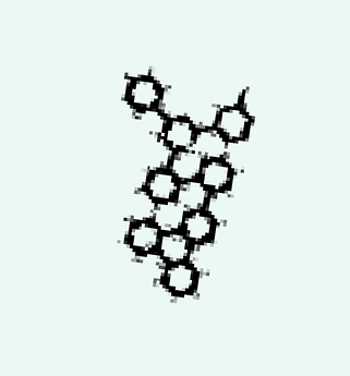 CC1C=CC=C(c2cc(-c3ccccc3)nc(-c3ccccc3-c3ccccc3-c3ccc4c5ccccc5c5ccccc5c4c3)n2)C1